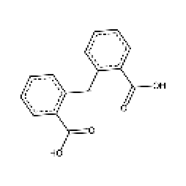 O=C(O)c1ccccc1[CH]c1ccccc1C(=O)O